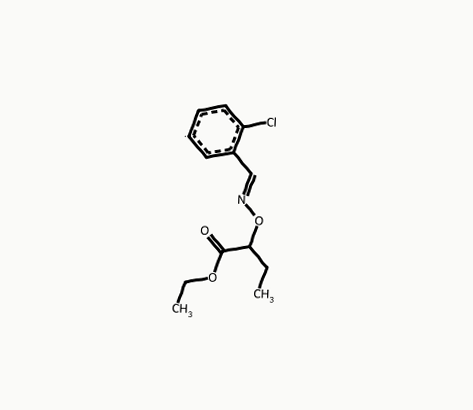 CCOC(=O)C(CC)O/N=C/c1c[c]ccc1Cl